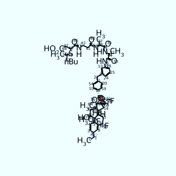 C/C=C1\C=C[C@@]2(C)C(=C1)[C@@H](F)C[C@H]1[C@@H]3C[C@H]4O[C@@H](c5ccc(Cc6cccc(NC(=O)[C@H](C)NC(=O)[C@H](C)NC(=O)CCNC(=O)C(CC(=O)O)SC(C)CCCC)c6)cc5)O[C@@]4(C(=O)SCF)[C@@]3(C)C[C@H](O)[C@@]12F